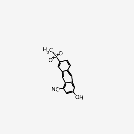 CS(=O)(=O)c1ccc2cc3cc(O)cc(C#N)c3cc2c1